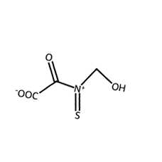 O=C([O-])C(=O)[N+](=S)CO